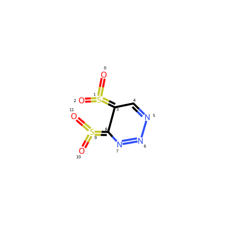 O=S(=O)=C1C=NN=NC1=S(=O)=O